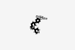 COc1ccc(-c2ccc3nnc(-c4ccncc4)n3c2)cc1OC